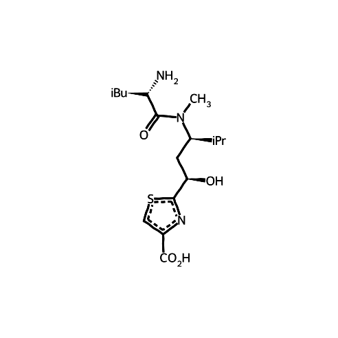 CC[C@H](C)[C@H](N)C(=O)N(C)[C@H](C[C@@H](O)c1nc(C(=O)O)cs1)C(C)C